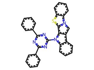 c1ccc(-c2nc(-c3ccccc3)nc(-n3c4ccccc4c4cn5c6ccccc6sc5c43)n2)cc1